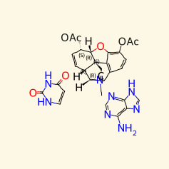 CC(=O)Oc1ccc2c3c1O[C@H]1[C@@H](OC(C)=O)C=C[C@H]4[C@@H](C2)N(C)CC[C@@]341.Nc1ncnc2[nH]cnc12.O=c1cc[nH]c(=O)[nH]1